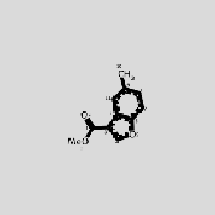 COC(=O)c1coc2ccc(C)cc12